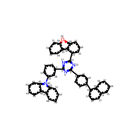 c1cc(-c2nc(-c3ccc(-c4cccc5ccccc45)cc3)nc(-c3cccc4oc5ccccc5c34)n2)cc(-n2c3ccccc3c3ccccc32)c1